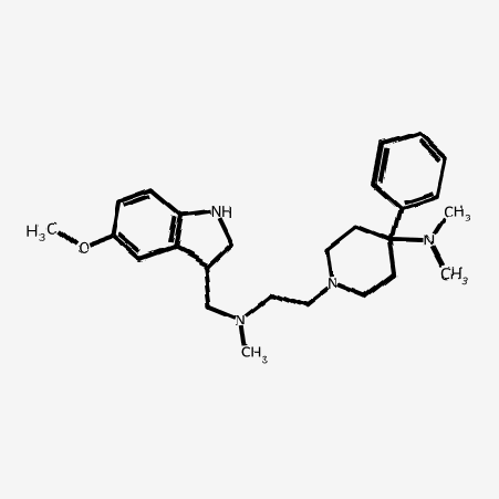 COc1ccc2c(c1)C(CN(C)CCN1CCC(c3ccccc3)(N(C)C)CC1)CN2